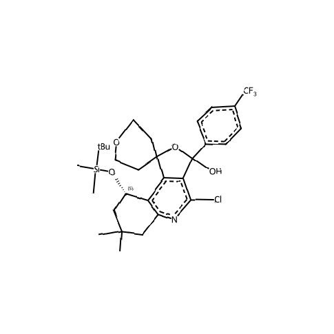 CC1(C)Cc2nc(Cl)c3c(c2[C@@H](O[Si](C)(C)C(C)(C)C)C1)C1(CCOCC1)OC3(O)c1ccc(C(F)(F)F)cc1